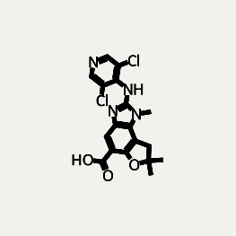 Cn1c(Nc2c(Cl)cncc2Cl)nc2cc(C(=O)O)c3c(c21)CC(C)(C)O3